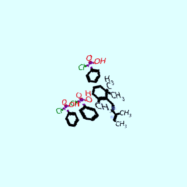 C/C=C(C)/C=C/C1=C(C)CCCC1(C)C.O=P(O)(Cl)c1ccccc1.O=P(O)(Cl)c1ccccc1.O=P(O)(Cl)c1ccccc1